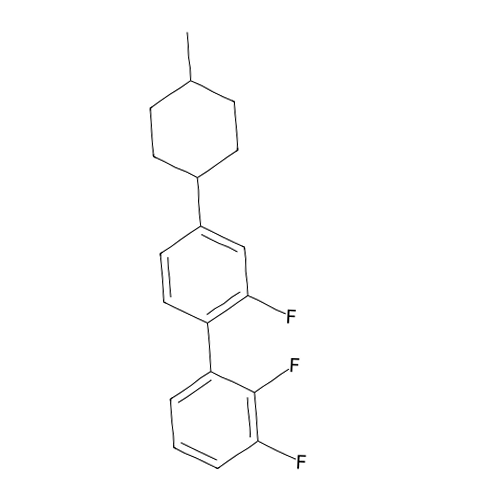 CC1CCC(c2ccc(-c3cccc(F)c3F)c(F)c2)CC1